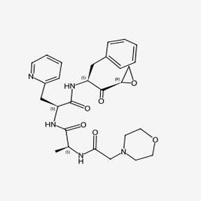 C[C@H](NC(=O)CN1CCOCC1)C(=O)N[C@@H](Cc1ccccn1)C(=O)N[C@@H](Cc1ccccc1)C(=O)[C@H]1CO1